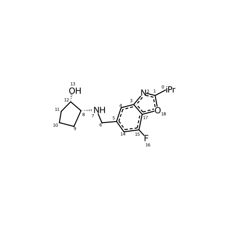 CC(C)c1nc2cc(CN[C@@H]3CCC[C@@H]3O)cc(F)c2o1